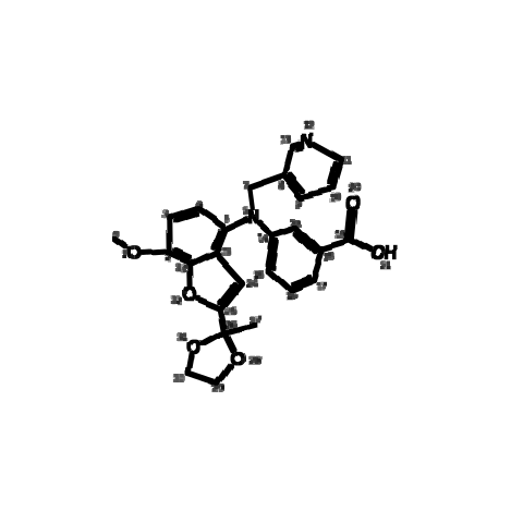 COc1ccc(N(Cc2cccnc2)c2cccc(C(=O)O)c2)c2cc(C3(C)OCCO3)oc12